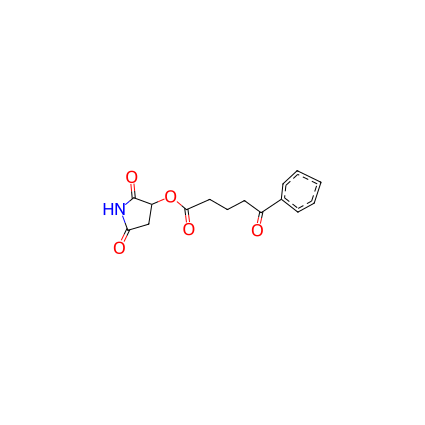 O=C1CC(OC(=O)CCCC(=O)c2ccccc2)C(=O)N1